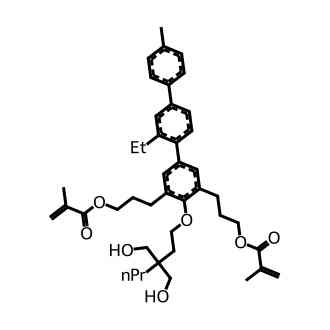 C=C(C)C(=O)OCCCc1cc(-c2ccc(-c3ccc(C)cc3)cc2CC)cc(CCCOC(=O)C(=C)C)c1OCCC(CO)(CO)CCC